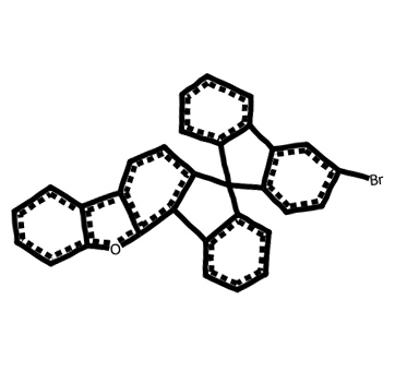 Brc1ccc2c(c1)-c1ccccc1C21c2ccccc2-c2c1ccc1c2oc2ccccc21